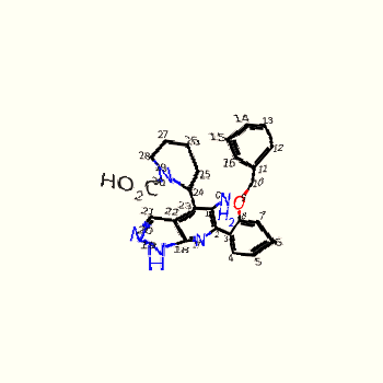 Nc1c(-c2ccccc2OCc2ccccc2)nc2[nH]ncc2c1C1CCCCN1C(=O)O